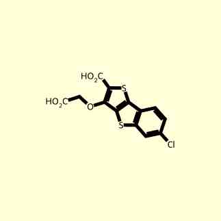 O=C(O)COc1c(C(=O)O)sc2c1sc1cc(Cl)ccc12